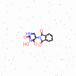 O=C1c2ccccc2C(=O)N1c1c[nH]c(=O)n(O)c1=O